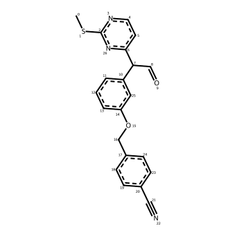 CSc1nccc(C(C=O)c2cccc(OCc3ccc(C#N)cc3)c2)n1